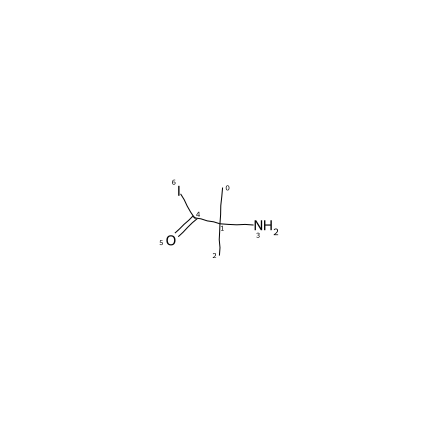 CC(C)(N)C(=O)I